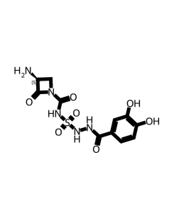 N[C@H]1CN(C(=O)NS(=O)(=O)NNC(=O)c2ccc(O)c(O)c2)C1=O